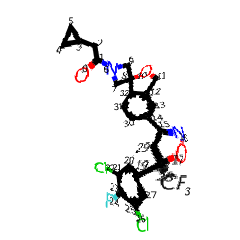 O=C(CC1CC1)N1CC2(C1)OCc1cc(C3=NOC(c4cc(Cl)c(F)c(Cl)c4)(C(F)(F)F)C3)ccc12